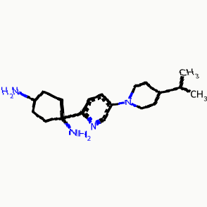 CC(C)C1CCN(c2ccc(C3(N)CCC(N)CC3)nc2)CC1